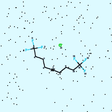 FC(F)(F)CC[CH2][Al+][CH2]CCC(F)(F)F.[Cl-]